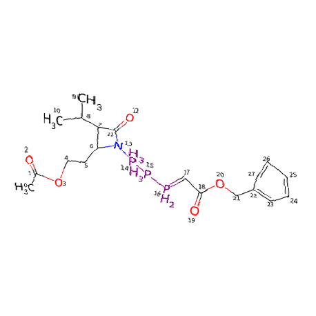 CC(=O)OCCC1C(C(C)C)C(=O)N1[PH3][PH3][PH2]=CC(=O)OCc1ccccc1